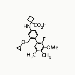 COc1c(C)c(C)cc(-c2ccc(NC3(C(=O)O)CCC3)cc2COC2CC2)c1F